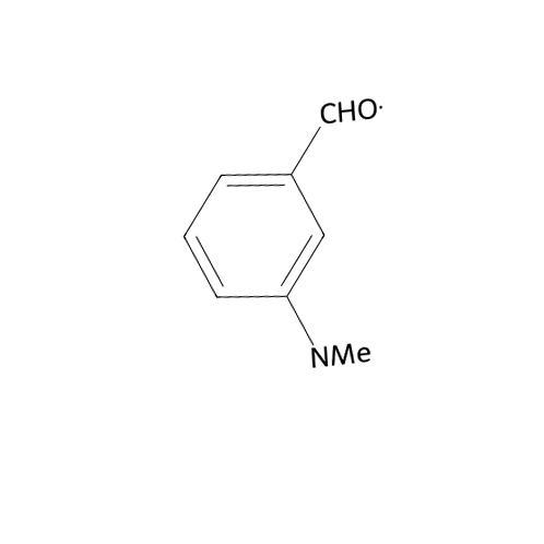 CNc1cccc([C]=O)c1